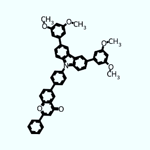 COc1cc(OC)cc(-c2ccc3c(c2)c2cc(-c4cc(OC)cc(OC)c4)ccc2n3-c2ccc(-c3ccc4oc(-c5ccccc5)cc(=O)c4c3)cc2)c1